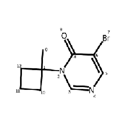 CC1(n2cncc(Br)c2=O)CCC1